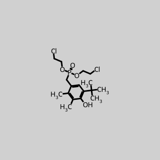 Cc1c(CP(=O)(OCCCl)OCCCl)cc(C(C)(C)C)c(O)c1C